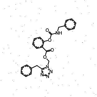 O=C(NCc1ccccc1)Oc1ccccc1C(=O)OCn1nnnc1Cc1ccccc1